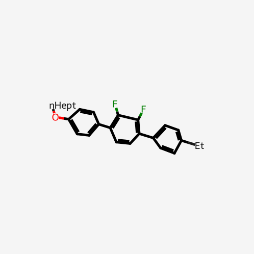 CCCCCCCOc1ccc(-c2ccc(-c3ccc(CC)cc3)c(F)c2F)cc1